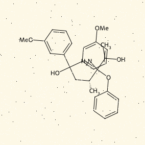 COc1cccc(C(O)(C[C@@H](C)C(N)(Oc2ccccc2)C(C)O)c2cccc(OC)c2)c1